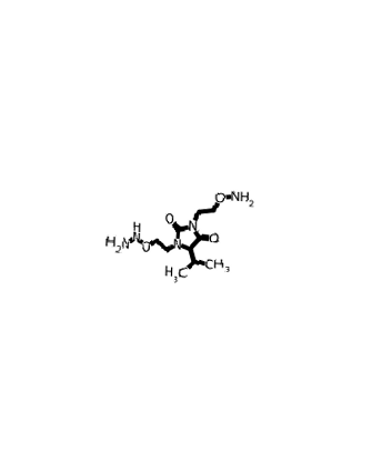 CC(C)C1C(=O)N(CCON)C(=O)N1CCONN